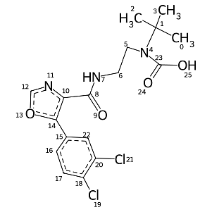 CC(C)(C)N(CCNC(=O)c1ncoc1-c1ccc(Cl)c(Cl)c1)C(=O)O